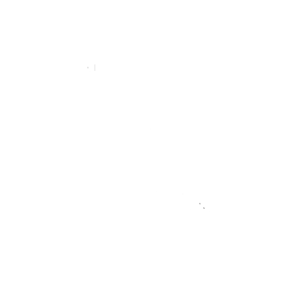 CCc1ccc(-c2c3ccccc3c(C3=Cc4ccc(-c5ccccn5)cc4CC3)c3ccccc23)cc1